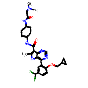 Cc1[nH]c2c(-c3cc(C(F)F)ccc3OCC3CC3)ncnc2c1C(=O)NC1CCC(NC(=O)CN(C)C)CC1